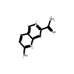 CC(C)(C)c1ccc2cnc(C(=N)N)cc2n1